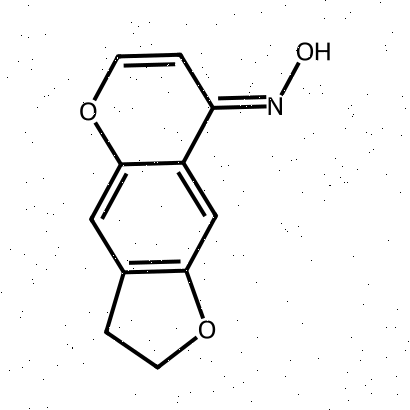 O/N=c1\ccoc2cc3c(cc12)OCC3